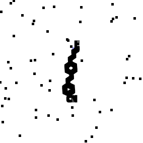 N#Cc1ccc(CCC2CCC(CC/C=C/F)CC2)cc1